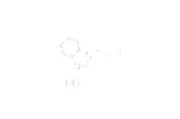 Br.CN1CN(CCO)c2ccccc21